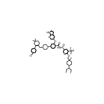 CC1(C)CCC(CN2CCN(c3ccc(C(=O)N[S+]([O-])c4cnc(OCC5(F)CCN(C(CF)CF)CC5)c(C(F)(F)F)c4)c(Oc4cnc5[nH]ccc5c4)c3)CC2)=C(c2ccc(Cl)cc2)C1